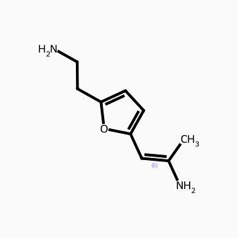 C/C(N)=C\c1ccc(CCN)o1